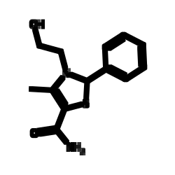 CC1=C(C(N)=O)SC(c2ccccc2)N1CCO